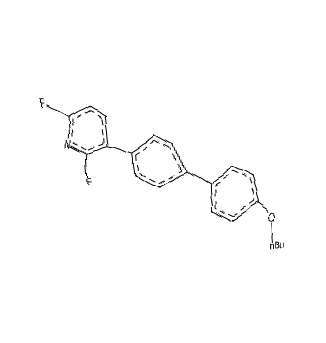 CCCCOc1ccc(-c2ccc(-c3ccc(F)nc3F)cc2)cc1